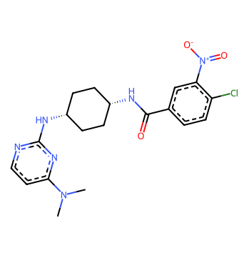 CN(C)c1ccnc(N[C@H]2CC[C@@H](NC(=O)c3ccc(Cl)c([N+](=O)[O-])c3)CC2)n1